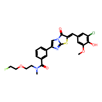 COc1cc(/C=c2\sc3nc(-c4cccc(C(=O)N(C)CCOCCF)c4)cn3c2=O)cc(Cl)c1O